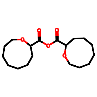 O=C(OC(=O)C1CCCCCCCO1)C1CCCCCCCO1